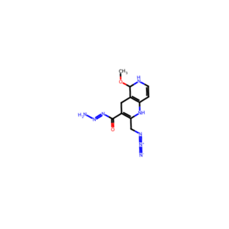 COC1NC=CC2=C1CC(C(=O)N=NN)=C(CN=[N+]=[N-])N2